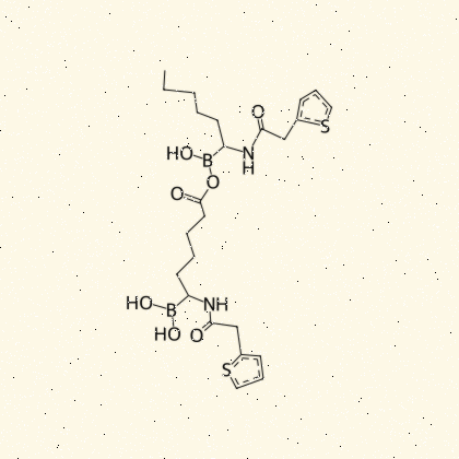 CCCCCC(NC(=O)Cc1cccs1)B(O)OC(=O)CCCCC(NC(=O)Cc1cccs1)B(O)O